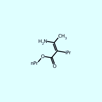 CCCOC(=O)C(=C(C)N)C(C)C